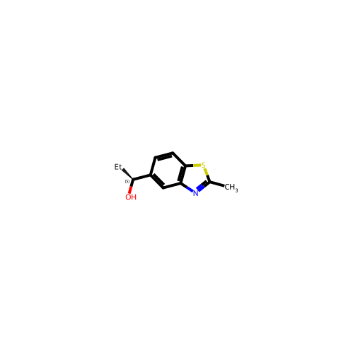 CC[C@H](O)c1ccc2sc(C)nc2c1